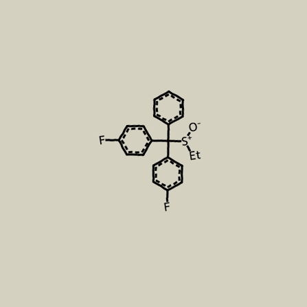 CC[S+]([O-])C(c1ccccc1)(c1ccc(F)cc1)c1ccc(F)cc1